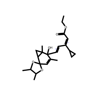 CCOC(=O)/C=C(\C=C\C1(O)C(C)=CC2(OC(C)C(C)O2)C2CC21C)C1CC1